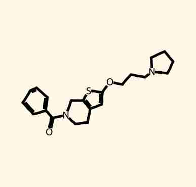 O=C(c1ccccc1)N1CCc2cc(OCCCN3CCCC3)sc2C1